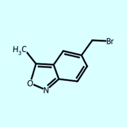 Cc1onc2ccc(CBr)cc12